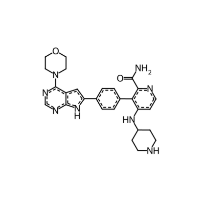 NC(=O)c1nccc(NC2CCNCC2)c1-c1ccc(-c2cc3c(N4CCOCC4)ncnc3[nH]2)cc1